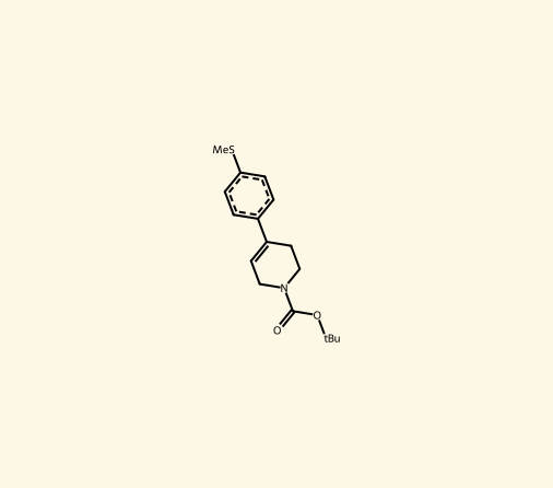 CSc1ccc(C2=CCN(C(=O)OC(C)(C)C)CC2)cc1